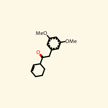 COc1cc(CC(=O)C2C=CCCC2)cc(OC)c1